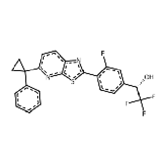 O[C@@H](c1ccc(-c2nc3ccc(C4(c5ccccc5)CC4)nc3s2)c(F)c1)C(F)(F)F